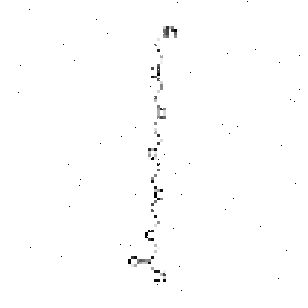 CCC(=O)COCCOCCOCCOCCOCCC(C)C